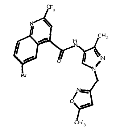 Cc1cc(Cn2cc(NC(=O)c3cc(C(F)(F)F)nc4ccc(Br)cc34)c(C)n2)no1